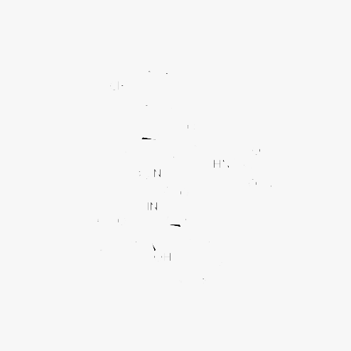 COC(=O)NCCO[C@@H](c1cccc(Cl)c1)[C@@H]1CCCN(C(=O)N[C@@H](CC2CCCCC2)[C@@H](O)[C@@H]2C[C@H](C)CO2)C1